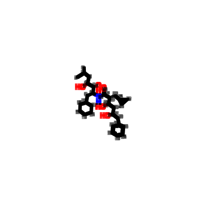 CC(C)C[C@H](O)[C@H](O)[C@H](CC1CCCCC1)NC(=O)[C@H](CC1CC1)[C@H](O)C[C@H](O)Cc1ccccc1